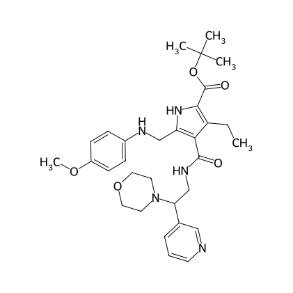 CCc1c(C(=O)OC(C)(C)C)[nH]c(CNc2ccc(OC)cc2)c1C(=O)NCC(c1cccnc1)N1CCOCC1